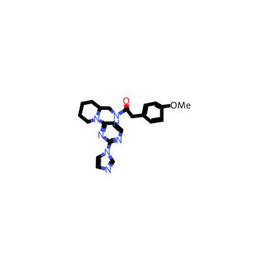 COc1ccc(CC(=O)NCC2CCCCN2c2ccnc(-n3ccnc3)n2)cc1